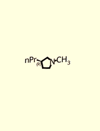 CCC[C@@H]1CCN(C)C1